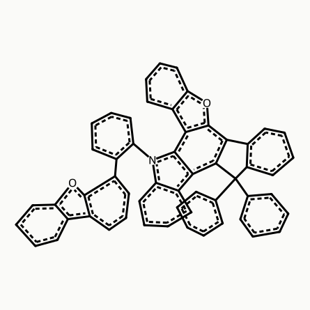 c1ccc(C2(c3ccccc3)c3ccccc3-c3c2c2c4ccccc4n(-c4ccccc4-c4cccc5c4oc4ccccc45)c2c2c3oc3ccccc32)cc1